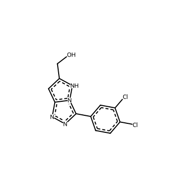 OCc1cc2nnc(-c3ccc(Cl)c(Cl)c3)n2[nH]1